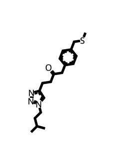 CSCc1ccc(CC(=O)CCc2cn(CCC(C)C)nn2)cc1